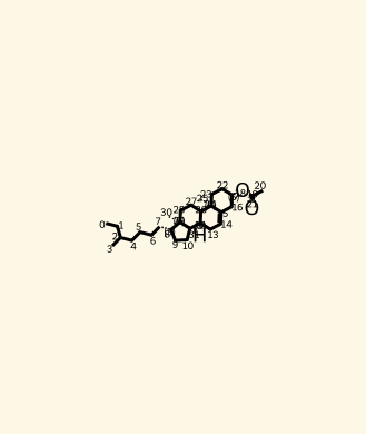 CCC(C)CCCC[C@H]1CCC2[C@@H]3CC=C4C[C@@H](OC(C)=O)CC[C@]4(C)C3CC[C@@]21C